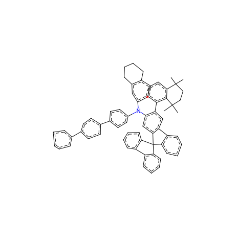 CC1(C)CCC(C)(C)c2c(-c3cc4c(cc3N(c3ccc(-c5ccc(-c6ccccc6)cc5)cc3)c3ccc5c(c3)CCCC5)C3(c5ccccc5-c5ccccc53)c3ccccc3-4)cccc21